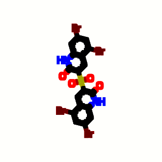 O=c1[nH]c2cc(Br)cc(Br)c2cc1S(=O)(=O)c1cc2c(Br)cc(Br)cc2[nH]c1=O